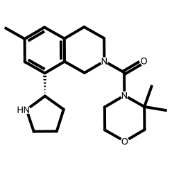 Cc1cc2c(c([C@@H]3CCCN3)c1)CN(C(=O)N1CCOCC1(C)C)CC2